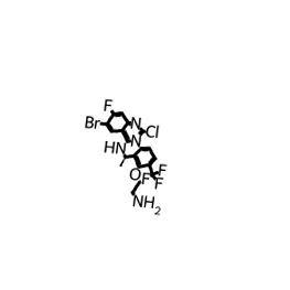 C[C@@H](Nc1nc(Cl)nc2cc(F)c(Br)cc12)c1cccc(C(F)(F)F)c1OCCN